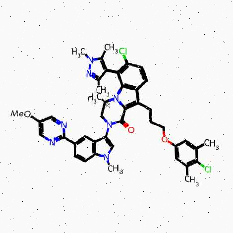 COc1cnc(-c2ccc3c(c2)c(N2C[C@@H](C)n4c(c(CCCOc5cc(C)c(Cl)c(C)c5)c5ccc(Cl)c(-c6c(C)nn(C)c6C)c54)C2=O)cn3C)nc1